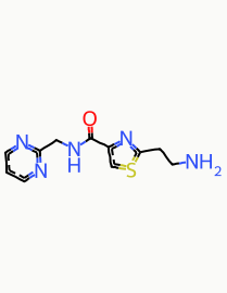 NCCc1nc(C(=O)NCc2ncccn2)cs1